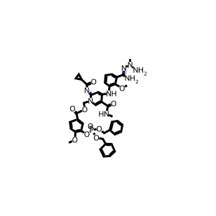 CNC(=O)c1cn(COC(=O)c2ccc(OC)c(OP(=O)(OCc3ccccc3)OCc3ccccc3)c2)/c(=N/C(=O)C2CC2)cc1Nc1cccc(/C(N)=N/N(C)N)c1OC